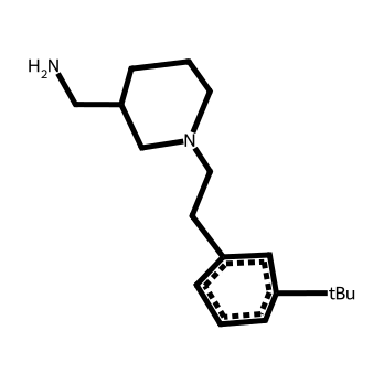 CC(C)(C)c1cccc(CCN2CCCC(CN)C2)c1